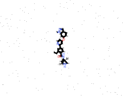 CCc1cc(-c2cc(Oc3ccc4cnn(C)c4c3)ccn2)ccc1C(=O)N[C@@H]1C[C@H]2C[C@@H]1CN2